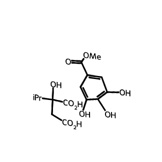 CC(C)C(O)(CC(=O)O)C(=O)O.COC(=O)c1cc(O)c(O)c(O)c1